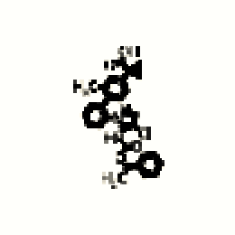 Cc1cc(C2(C(=O)O)CC2)ccc1-c1ccccc1-n1ncc(Cl)c1NC(=O)OC(C)c1ccccc1